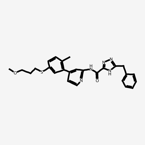 COCCCSc1ccc(C)c(-c2ccnc(NC(=O)c3nnc(Cc4ccccc4)[nH]3)c2)c1